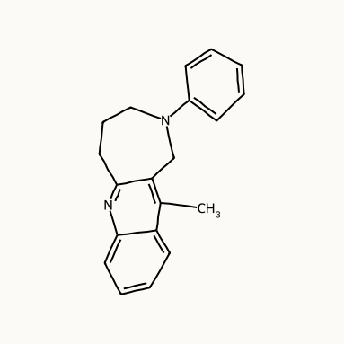 Cc1c2c(nc3ccccc13)CCCN(c1ccccc1)C2